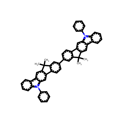 CC1(C)c2cc(-c3ccc4c(c3)C(C)(C)c3cc5c6ccccc6n(-c6ccccc6)c5cc3-4)ccc2-c2cc3c(cc21)c1ccccc1n3-c1ccccc1